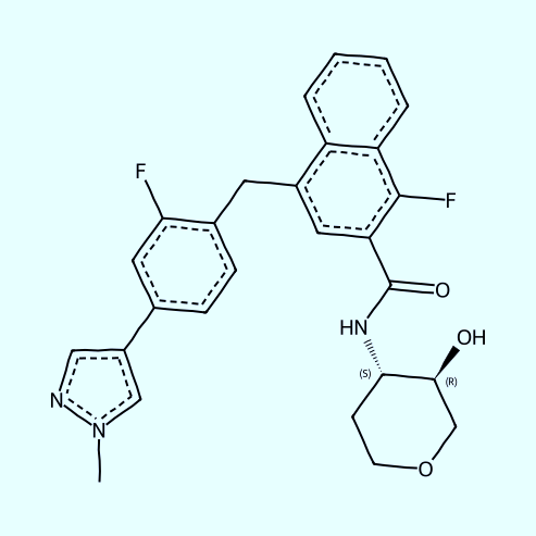 Cn1cc(-c2ccc(Cc3cc(C(=O)N[C@H]4CCOC[C@@H]4O)c(F)c4ccccc34)c(F)c2)cn1